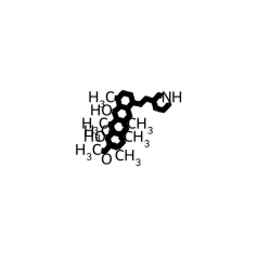 CC(=O)C1=C(C)C[C@]2(C)C[C@]3(C)CC4C(CCC5CCCNC5)CCC(C)C4C(O)C3C(C)[C@]2(C)C1O